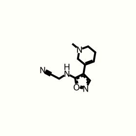 CN1CCC=C(c2cnoc2NCC#N)C1